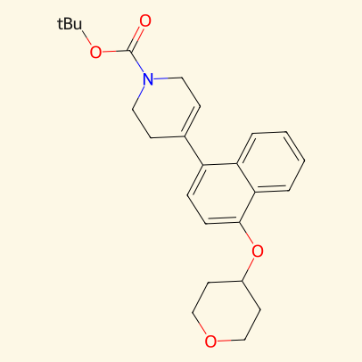 CC(C)(C)OC(=O)N1CC=C(c2ccc(OC3CCOCC3)c3ccccc23)CC1